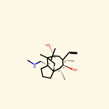 C=C[C@]1(C)C[C@@H](O)C2(C)C(C)CCC3(CCC[C@]32CNC)[C@@H](C)[C@@H]1O